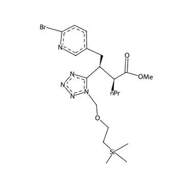 CCC[C@H](C(=O)OC)[C@H](Cc1ccc(Br)nc1)c1nnnn1COCC[Si](C)(C)C